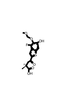 COCOc1c(O)cc2sc(C(=O)C[C@H](C)C(=O)O)cc2c1F